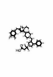 CCn1nc(Cc2ccc(F)c(F)c2)cc1C1CCN(CC2CN(C(C)(C)CC(=O)O)CC2c2ccccc2)CC1